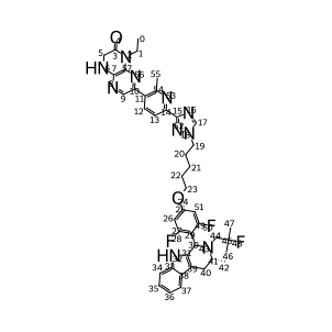 CCN1C(=O)CNc2ncc(-c3ccc(-c4ncn(CCCCCOc5cc(F)c([C@@H]6c7[nH]c8ccccc8c7C[C@@H](C)N6CC(C)(C)F)c(F)c5)n4)nc3C)nc21